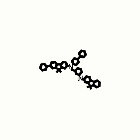 CN(c1cccc(CN(c2ccc(-c3ccccc3)cc2)c2ccc3c(c2)C(C)(C)c2cc(-c4ccccc4)ccc2-3)c1)c1ccc2c(c1)C(C)(C)c1ccccc1-2